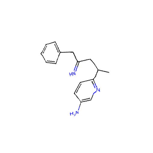 CC(CC(=N)Cc1ccccc1)c1ccc(N)cn1